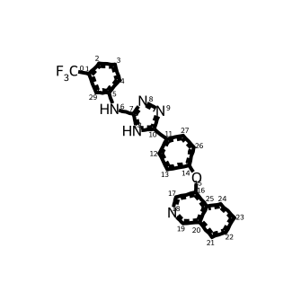 FC(F)(F)c1cccc(Nc2nnc(-c3ccc(Oc4cncc5ccccc45)cc3)[nH]2)c1